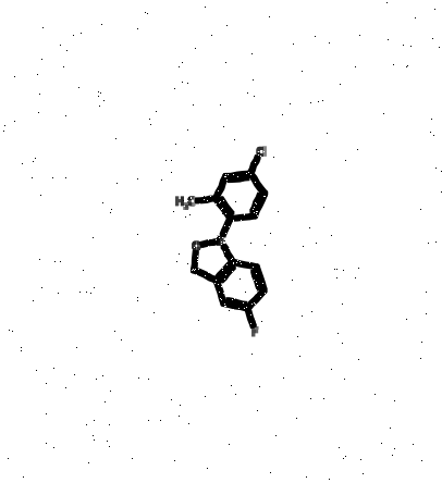 Cc1cc(Cl)ccc1B1OCc2cc(F)ccc21